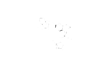 CC(C)C[C@H](NC(=O)C[C@@H]1CO[C@@H]2OCC[C@H]12)C(=O)N[C@H](C=O)C[C@@H]1CCNC1O